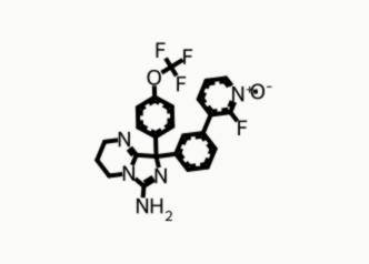 NC1=NC(c2ccc(OC(F)(F)F)cc2)(c2cccc(-c3ccc[n+]([O-])c3F)c2)C2=NCCCN12